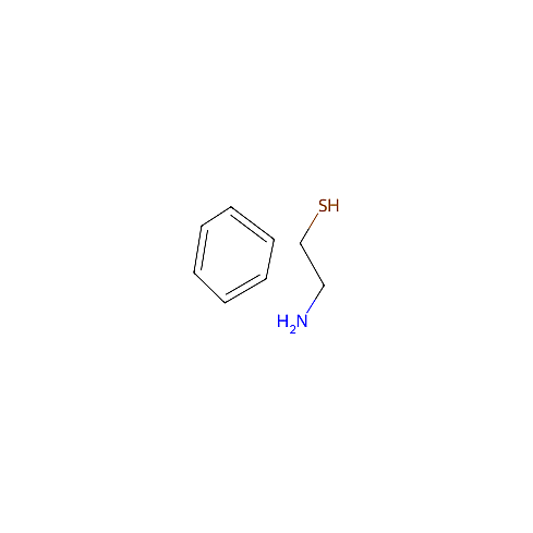 NCCS.c1ccccc1